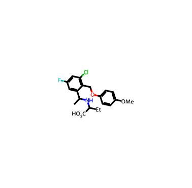 CCC(NC(C)c1cc(F)cc(Cl)c1COc1ccc(OC)cc1)C(=O)O